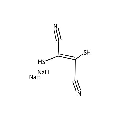 N#C/C(S)=C(\S)C#N.[NaH].[NaH]